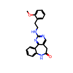 COc1ccccc1CCNc1ncc2c(n1)-c1ccccc1NC(=O)C2